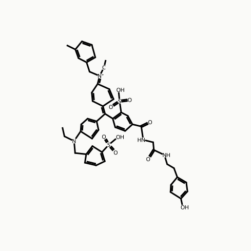 CCN(Cc1cccc(S(=O)(=O)O)c1)c1ccc(C(=C2C=CC(=[N+](CC)Cc3cccc(C)c3)C=C2)c2ccc(C(=O)NCC(=O)NCCc3ccc(O)cc3)cc2S(=O)(=O)O)cc1